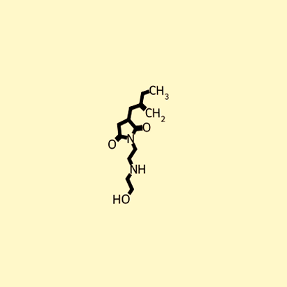 C=C(CC)CC1CC(=O)N(CCNCCO)C1=O